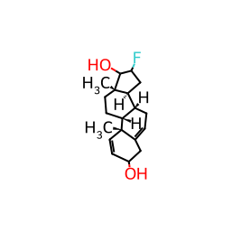 C[C@]12C=CC(O)CC1=CC[C@@H]1[C@H]2CC[C@]2(C)C(O)C(F)C[C@@H]12